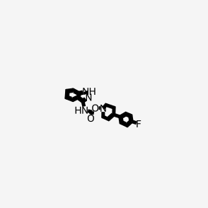 O=C(Nc1n[nH]c2ccccc12)ON1CC=C(c2ccc(F)cc2)CC1